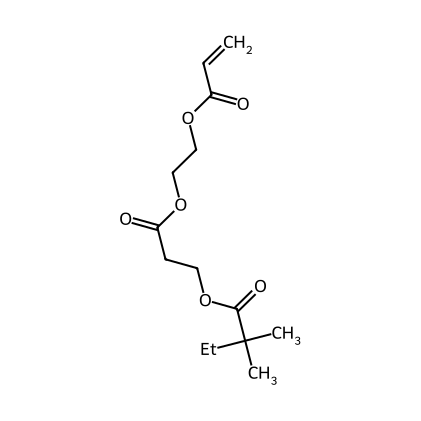 C=CC(=O)OCCOC(=O)CCOC(=O)C(C)(C)CC